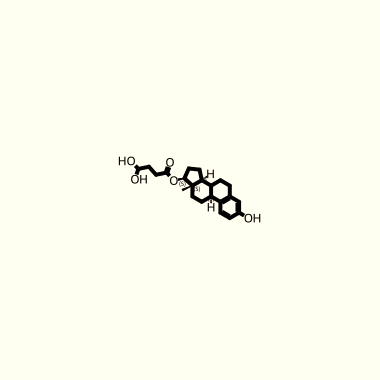 C[C@]12CC[C@@H]3c4ccc(O)cc4CCC3[C@@H]1CC[C@@H]2OC(=O)CCC(O)O